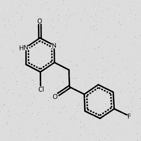 O=C(Cc1nc(=O)[nH]cc1Cl)c1ccc(F)cc1